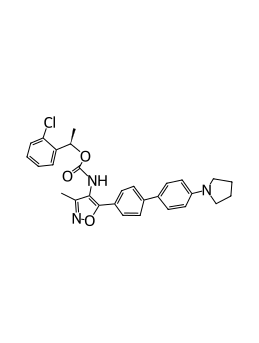 Cc1noc(-c2ccc(-c3ccc(N4CCCC4)cc3)cc2)c1NC(=O)O[C@H](C)c1ccccc1Cl